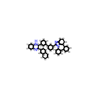 C1=Cc2ccc(C3=Nc4ccccc4NC3c3cccc(-c4cccc(-c5nc6c7n5-c5ccccc5-c5ccccc5C=7CCC=6)c4)c3)cc2CC1